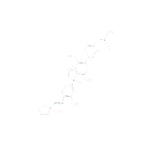 CCC(CC)(c1ccc(C=CC2(O)CCCC2)c(C)c1)c1ccc(-c2ccc(CC(=O)O)cc2)c(C)c1